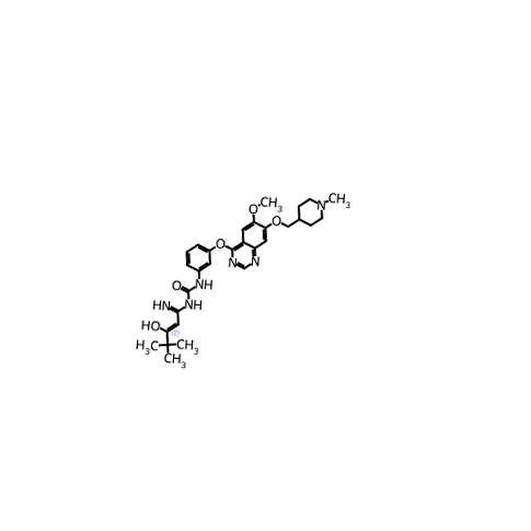 COc1cc2c(Oc3cccc(NC(=O)NC(=N)/C=C(\O)C(C)(C)C)c3)ncnc2cc1OCC1CCN(C)CC1